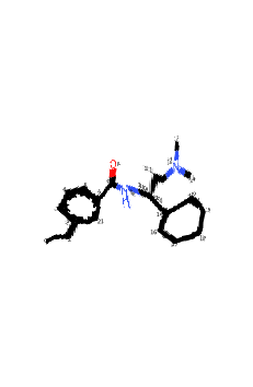 CCc1cccc(C(=O)N[C@@H](CN(C)C)C2CCCCC2)c1